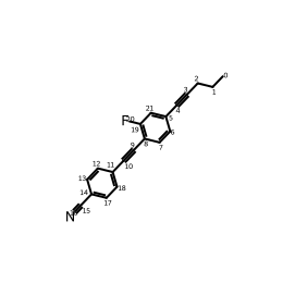 CCCC#Cc1ccc(C#Cc2ccc(C#N)cc2)c(F)c1